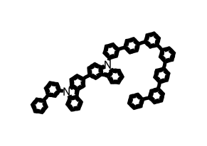 c1ccc(-c2cccc(-c3ccc(-c4cccc(-c5cccc(-c6ccc(-c7cccc(-n8c9ccccc9c9cc(-c%10ccc%11c(c%10)c%10ccccc%10n%11-c%10cccc(-c%11ccccc%11)c%10)ccc98)c7)cc6)c5)c4)cc3)c2)cc1